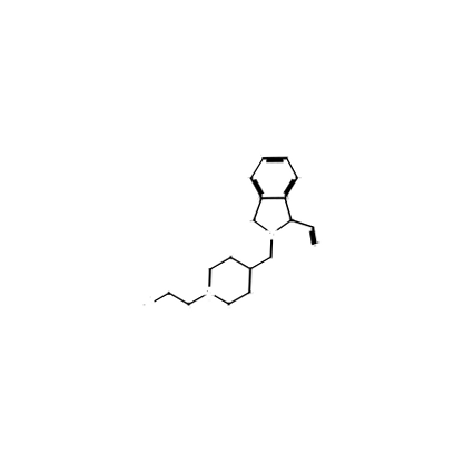 O=CC1c2ccccc2CN1CC1CCN(CCO)CC1